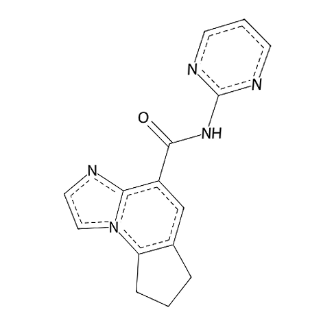 O=C(Nc1ncccn1)c1cc2c(n3ccnc13)CCC2